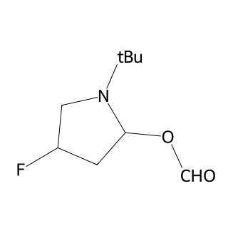 CC(C)(C)N1CC(F)CC1OC=O